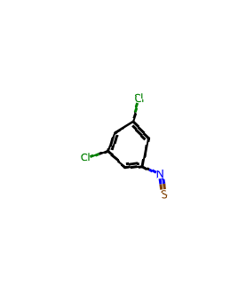 S=Nc1cc(Cl)cc(Cl)c1